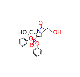 O=C(O)C1=C(P(=O)(Oc2ccccc2)Oc2ccccc2)CC2C(CCO)C(=O)N12